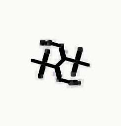 CO/N=C(\C(=N/OC)S(C)(=O)=O)S(C)(=O)=O